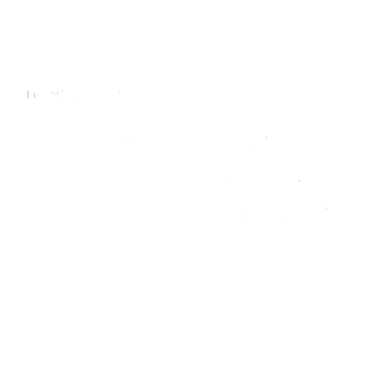 C=CC1(OC(=O)CCCCCCCCCCC)CC1